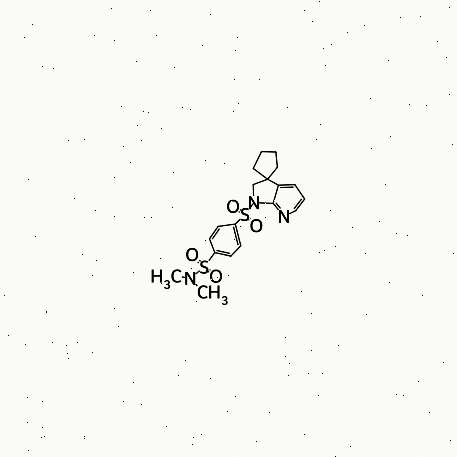 CN(C)S(=O)(=O)c1ccc(S(=O)(=O)N2CC3(CCCC3)c3cccnc32)cc1